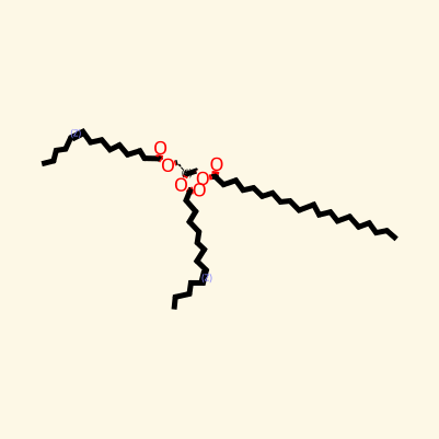 CCCC/C=C\CCCCCCCC(=O)OC[C@H](COC(=O)CCCCCCCCCCCCCCCCCCC)OC(=O)CCCCCCC/C=C\CCCC